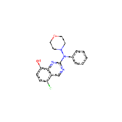 Oc1ccc(Cl)c2cnc(N(c3ccccc3)N3CCOCC3)nc12